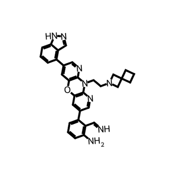 N=Cc1c(N)cccc1-c1cnc2c(c1)Oc1cc(-c3cccc4[nH]ncc34)cnc1N2CCN1CC2(CCC2)C1